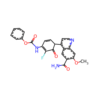 COc1cc2nccc(C3C=CC(NC(=O)Oc4ccccc4)=C(F)C3=O)c2cc1C(N)=O